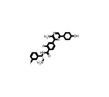 NC[C@@H](NC(=O)c1ccc(-c2nc(C3CCC(O)CC3)cnc2N)cc1F)c1cccc(I)c1